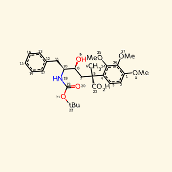 COc1ccc([C@@](C)(C[C@H](O)[C@H](Cc2ccccc2)NC(=O)OC(C)(C)C)C(=O)O)c(OC)c1OC